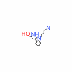 N#CCCCCn1cc(C[C@H](N)CO)c2ccccc21